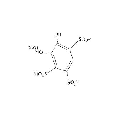 O=S(=O)(O)c1cc(S(=O)(=O)O)c(S(=O)(=O)O)c(O)c1O.[NaH]